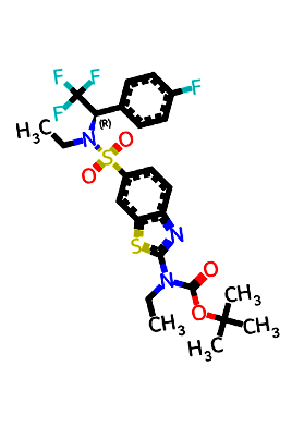 CCN(C(=O)OC(C)(C)C)c1nc2ccc(S(=O)(=O)N(CC)[C@H](c3ccc(F)cc3)C(F)(F)F)cc2s1